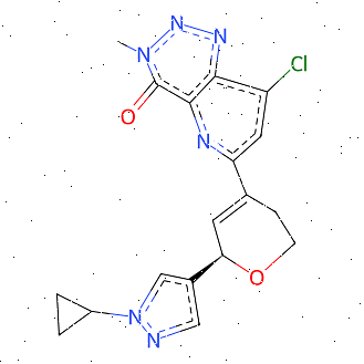 Cn1nnc2c(Cl)cc(C3=C[C@H](c4cnn(C5CC5)c4)OCC3)nc2c1=O